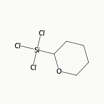 Cl[Si](Cl)(Cl)C1CCCCO1